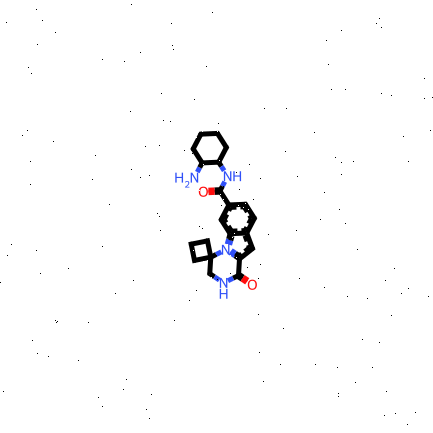 NC1CCCCC1NC(=O)c1ccc2cc3n(c2c1)C1(CCC1)CNC3=O